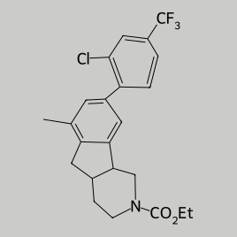 CCOC(=O)N1CCC2Cc3c(C)cc(-c4ccc(C(F)(F)F)cc4Cl)cc3C2C1